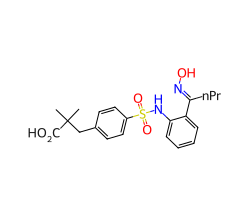 CCCC(=NO)c1ccccc1NS(=O)(=O)c1ccc(CC(C)(C)C(=O)O)cc1